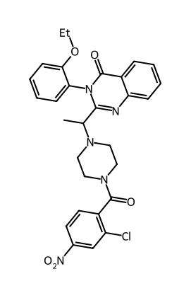 CCOc1ccccc1-n1c(C(C)N2CCN(C(=O)c3ccc([N+](=O)[O-])cc3Cl)CC2)nc2ccccc2c1=O